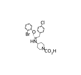 O=C(O)N1CCC(N[C@H](COc2ccccc2Br)Cc2ccc(Cl)cc2)CC1